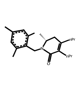 CCCC1=C(CCC)C(=O)N(Cc2c(C)cc(C)cc2C)[C@H](C)C1